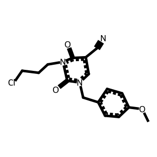 COc1ccc(Cn2cc(C#N)c(=O)n(CCCCl)c2=O)cc1